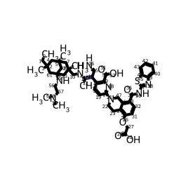 CCC1(C)CC2(C)CC(C)(CN/C(C)=C(\C=N)c3ccc(N4CCc5c(OCC(=O)O)ccc(C(=O)Nc6nc7ccccc7s6)c5C4)nc3C(=O)O)CC(NCCN(C)C)(C1)C2